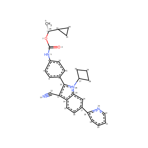 C[C@@H](OC(=O)Nc1ccc(-c2c(C#N)c3ccc(-c4ccccn4)cc3n2C2CCC2)cc1)C1CC1